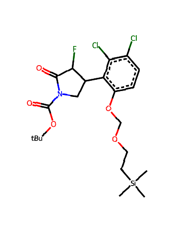 CC(C)(C)OC(=O)N1CC(c2c(OCOCC[Si](C)(C)C)ccc(Cl)c2Cl)C(F)C1=O